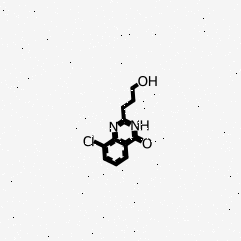 O=c1[nH]c(CCCO)nc2c(Cl)cccc12